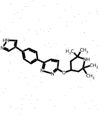 CC1(C)CC(Oc2ccc(-c3ccc(-c4cn[nH]c4)cc3)nn2)CC(C)(C)N1